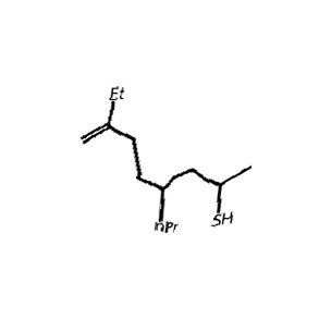 C=C(CC)CCC(CCC)CC(C)S